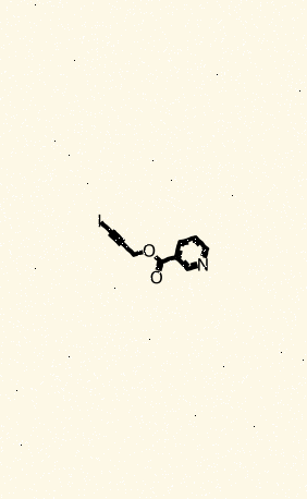 O=C(OCC#CI)c1cccnc1